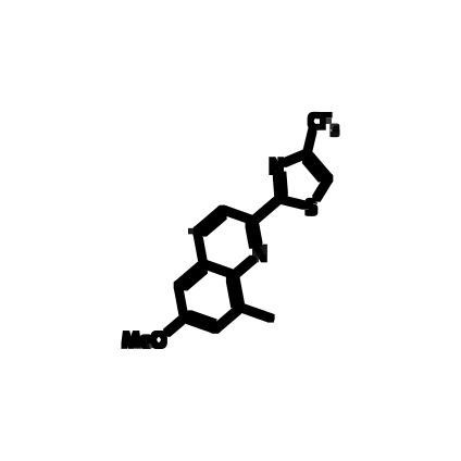 COc1cc(C)c2nc(-c3nc(C(F)(F)F)cs3)c[c]c2c1